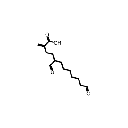 C=C(CCC(C=O)CCCCCCC=O)C(=O)O